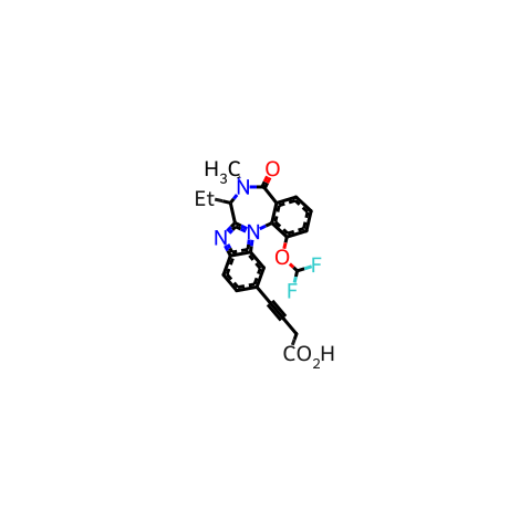 CCC1c2nc3ccc(C#CCC(=O)O)cc3n2-c2c(OC(F)F)cccc2C(=O)N1C